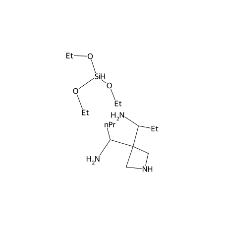 CCCC(N)C1(C(N)CC)CNC1.CCO[SiH](OCC)OCC